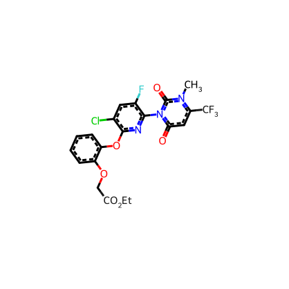 CCOC(=O)COc1ccccc1Oc1nc(-n2c(=O)cc(C(F)(F)F)n(C)c2=O)c(F)cc1Cl